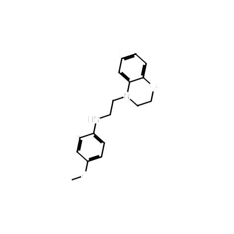 COc1ccc(NCCN2CCOc3ccccc32)cc1